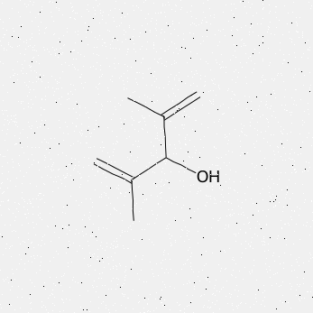 C=C(C)C(O)C(=C)C